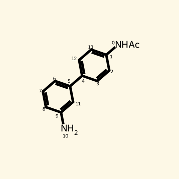 CC(=O)Nc1ccc(-c2cccc(N)c2)cc1